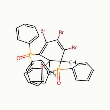 CC1(Br)C(P(=O)(c2ccccc2)c2ccccc2)=C(Br)C(Br)=C(Br)C1(C)P(=O)(c1ccccc1)c1ccccc1